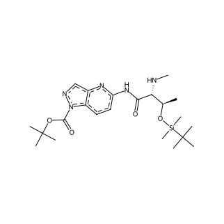 CN[C@@H](C(=O)Nc1ccc2c(cnn2C(=O)OC(C)(C)C)n1)[C@@H](C)O[Si](C)(C)C(C)(C)C